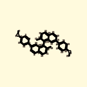 COc1ccc(-c2ccc3ccc(C)c(-c4c(C)ccc5ccc(-c6ccc(OC)cc6)cc45)c3c2)cc1